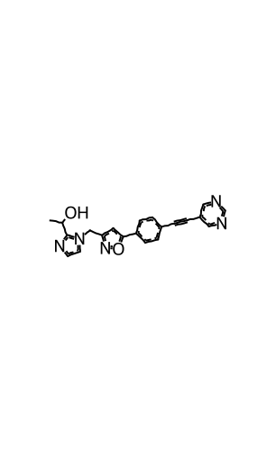 CC(O)c1nccn1Cc1cc(-c2ccc(C#Cc3cncnc3)cc2)on1